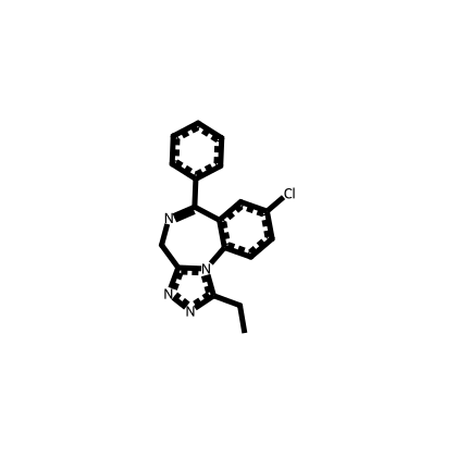 CCc1nnc2n1-c1ccc(Cl)cc1C(c1ccccc1)=NC2